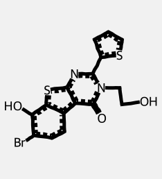 O=c1c2c(nc(-c3cccs3)n1CCO)sc1c(O)c(Br)ccc12